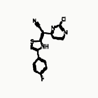 N#CC(=C1NC(c2ccc(F)cc2)=CS1)c1ccnc(Cl)n1